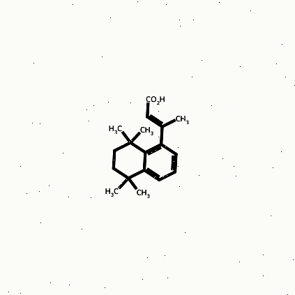 CC(=CC(=O)O)c1cccc2c1C(C)(C)CCC2(C)C